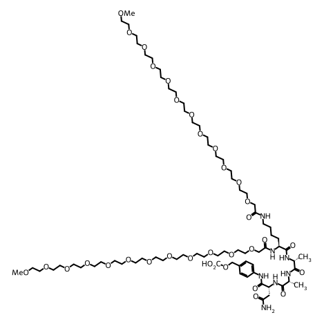 COCCOCCOCCOCCOCCOCCOCCOCCOCCOCCOCCOCC(=O)NCCCC[C@H](NC(=O)COCCOCCOCCOCCOCCOCCOCCOCCOCCOCCOCCOC)C(=O)N[C@H](C)C(=O)N[C@H](C)C(=O)N[C@H](CC(N)=O)C(=O)Nc1ccc(COC(=O)O)cc1